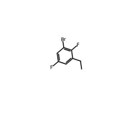 CCc1cc(F)cc(Br)c1F